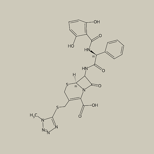 Cn1nnnc1SCC1=C(C(=O)O)N2C(=O)C(NC(=O)[C@@H](NC(=O)c3c(O)cccc3O)c3ccccc3)[C@@H]2SC1